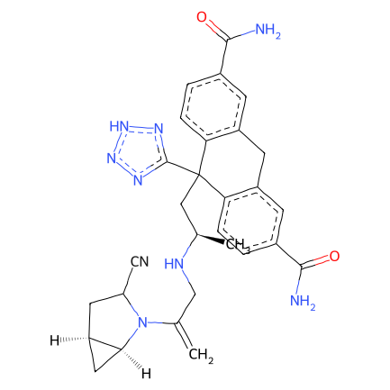 C=C(CN[C@H](C)CC1(c2nn[nH]n2)c2ccc(C(N)=O)cc2Cc2cc(C(N)=O)ccc21)N1C(C#N)C[C@@H]2C[C@@H]21